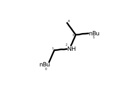 CCCCCNC(C)CCCC